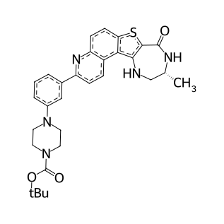 C[C@@H]1CNc2c(sc3ccc4nc(-c5cccc(N6CCN(C(=O)OC(C)(C)C)CC6)c5)ccc4c23)C(=O)N1